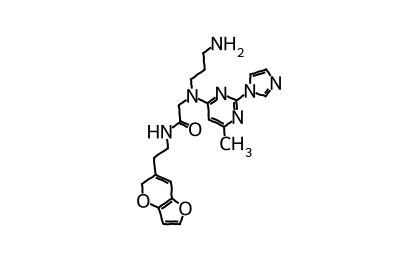 Cc1cc(N(CCCN)CC(=O)NCCC2=Cc3occc3OC2)nc(-n2ccnc2)n1